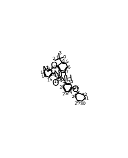 CC(C)(C)c1ccccc1Oc1ncccc1NC(=O)Nc1cccc(OC2CCCCC2)c1